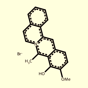 COc1ccc2cc3c4ccccc4cc[n+]3c(C)c2c1O.[Br-]